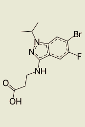 CC(C)n1nc(NCCC(=O)O)c2cc(F)c(Br)cc21